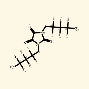 O=C1C(=O)N(CC(F)(F)C(F)(F)C(F)(F)C(F)(F)F)C(=S)N1CC(F)(F)C(F)(F)C(F)(F)C(F)(F)F